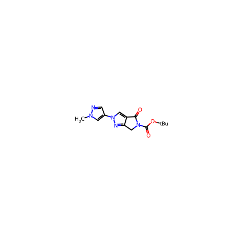 Cn1cc(-n2cc3c(n2)CN(C(=O)OC(C)(C)C)C3=O)cn1